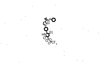 CCc1cc(C(=O)OC(=O)C(F)(F)F)c(=O)[nH]c1-c1ccc(N2CCC(C3(NCc4ccccc4)CC3)C2)cc1